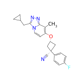 Cc1c(O[C@H]2C[C@](C#N)(c3ccc(F)cc3)C2)ccn2c(CC3CC3)nnc12